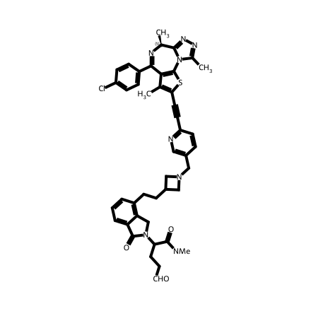 CNC(=O)C(CCC=O)N1Cc2c(CCC3CN(Cc4ccc(C#Cc5sc6c(c5C)C(c5ccc(Cl)cc5)=N[C@@H](C)c5nnc(C)n5-6)nc4)C3)cccc2C1=O